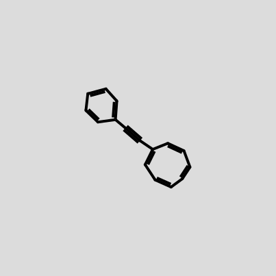 C(#Cc1ccccc1)C1=CC=CC=CC=C1